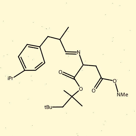 CNOC(=O)CC(/N=C/C(C)Cc1ccc(C(C)C)cc1)C(=O)OC(C)(C)CC(C)(C)C